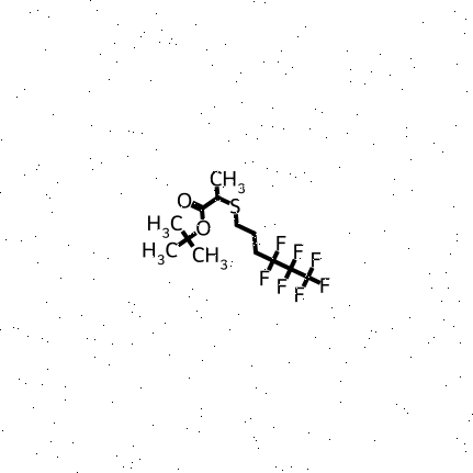 CC(SCCCC(F)(F)C(F)(F)C(F)(F)F)C(=O)OC(C)(C)C